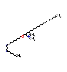 CCCCC/C=C\C/C=C\CCCCCCCCOCC(CCCCCCCCCCCCCCCCCCC)CN(C)C